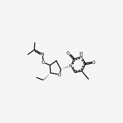 CC[C@H]1O[C@@H](n2cc(C)c(=O)[nH]c2=O)CC1ON=C(C)C